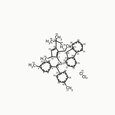 CCC1=[C]([Zr+2](=[C](c2ccc(C)cc2)c2ccc(C)cc2)[c]2cccc3c2Cc2ccccc2-3)C(C)C=C1C(C)(C)C.[Cl-].[Cl-]